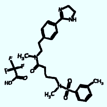 Cc1cccc(S(=O)(=O)N(C)CCCC(=O)N(C)CCc2ccc(C3=NCCN3)cc2)c1.O=C(O)C(F)(F)F